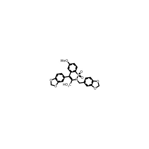 COc1ccc2c(c1)C(c1ccc3c(c1)OCO3)=C(C(=O)O)N(Cc1ccc3c(c1)OCO3)S2(=O)=O